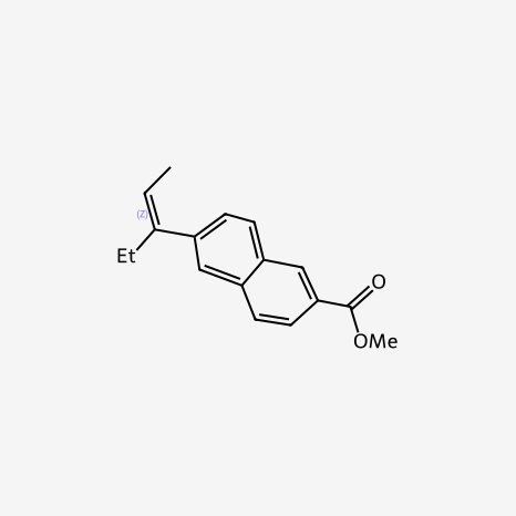 C/C=C(/CC)c1ccc2cc(C(=O)OC)ccc2c1